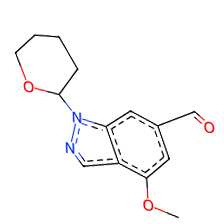 COc1cc(C=O)cc2c1cnn2C1CCCCO1